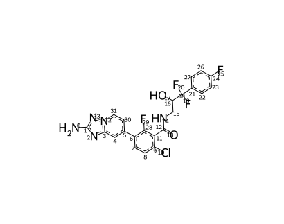 Nc1nc2cc(-c3ccc(Cl)c(C(=O)NCC(O)C(F)(F)c4ccc(F)cc4)c3F)ccn2n1